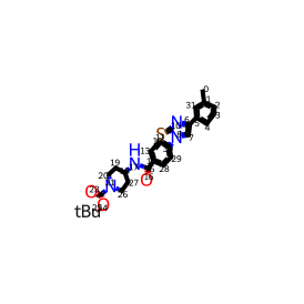 Cc1cccc(-c2cn3c(n2)sc2cc(C(=O)NC4CCN(C(=O)OC(C)(C)C)CC4)ccc23)c1